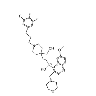 COc1ccc2ncc(CN3CCOCC3)c([C@H](O)CCC3(CO)CCN(CCCc4cc(F)c(F)c(F)c4)CC3)c2c1